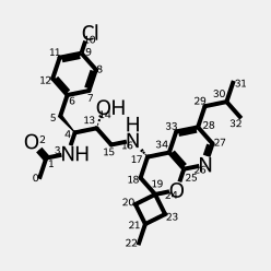 CC(=O)N[C@@H](Cc1ccc(Cl)cc1)[C@H](O)CN[C@H]1CC2(CC(C)C2)Oc2ncc(CC(C)C)cc21